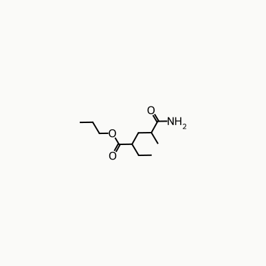 CCCOC(=O)C(CC)CC(C)C(N)=O